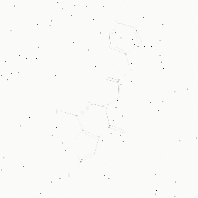 CC(C)c1cc2c(=O)n(CC(=O)Nc3ccncn3)nc(C(C)C)c2s1